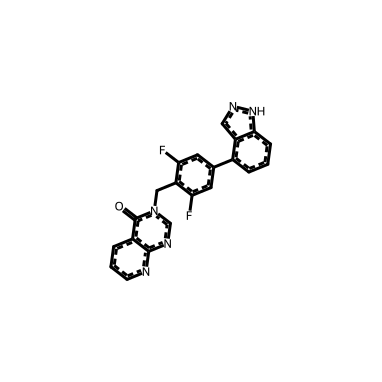 O=c1c2cccnc2ncn1Cc1c(F)cc(-c2cccc3[nH]ncc23)cc1F